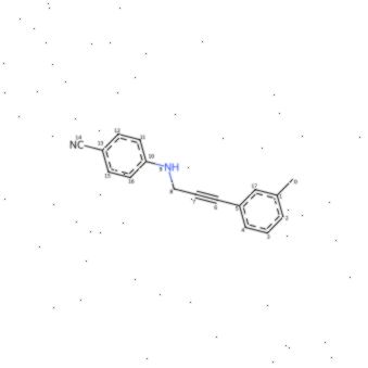 Cc1cccc(C#CCNc2ccc(C#N)cc2)c1